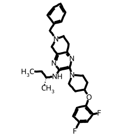 CC[C@@H](C)Nc1nc2c(nc1N1CCC(Oc3ccc(F)cc3F)CC1)CCN(Cc1ccccc1)C2